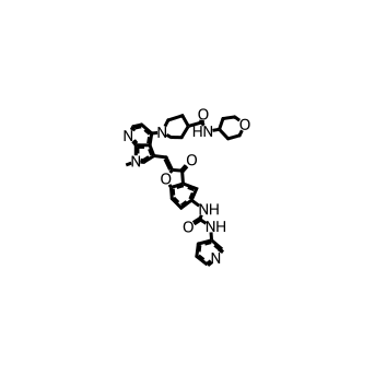 Cn1cc(/C=C2\Oc3ccc(NC(=O)Nc4cccnc4)cc3C2=O)c2c(N3CCC(C(=O)NC4CCOCC4)CC3)ccnc21